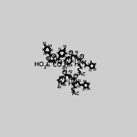 CC(=O)SCCN(CCC1CCCC1)C(=O)N[C@@H](C)C(=O)N1CCN(C)CC1.CC(=O)SCCN(CCC1CCCC1)C(=O)N[C@@H](C)C(=O)N1CCN(C)CC1.Cc1ccc(C(=O)O[C@@H](C(=O)O)[C@@H](OC(=O)c2ccc(C)cc2)C(=O)O)cc1